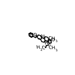 C=CCC(C)[C@@H]1CC(=O)[C@@]2(C)CC[C@@H]3C4=CCC(O)(Cc5ccccc5)C=C4CC[C@H]3[C@H]12